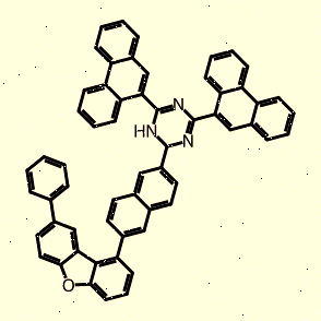 c1ccc(-c2ccc3oc4cccc(-c5ccc6cc(C7N=C(c8cc9ccccc9c9ccccc89)N=C(c8cc9ccccc9c9ccccc89)N7)ccc6c5)c4c3c2)cc1